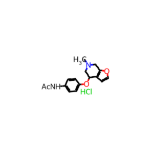 CC(=O)Nc1ccc(OC2CN(C)Cc3occc32)cc1.Cl